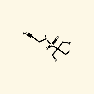 C#CCNS(=O)(=O)C(CF)(CF)CF